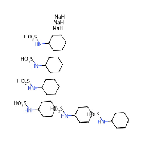 O=S(=O)(O)NC1CCCCC1.O=S(=O)(O)NC1CCCCC1.O=S(=O)(O)NC1CCCCC1.O=S(=O)(O)NC1CCCCC1.O=S(=O)(O)NC1CCCCC1.O=S(=O)(O)NC1CCCCC1.[NaH].[NaH].[NaH]